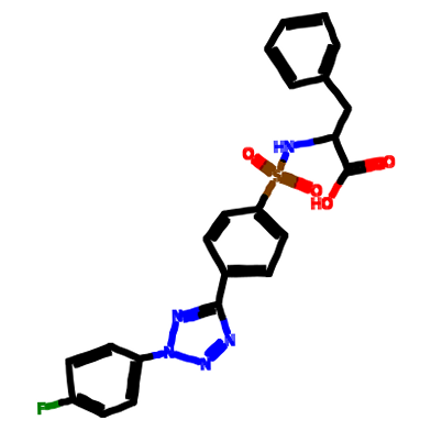 O=C(O)C(Cc1ccccc1)NS(=O)(=O)c1ccc(-c2nnn(-c3ccc(F)cc3)n2)cc1